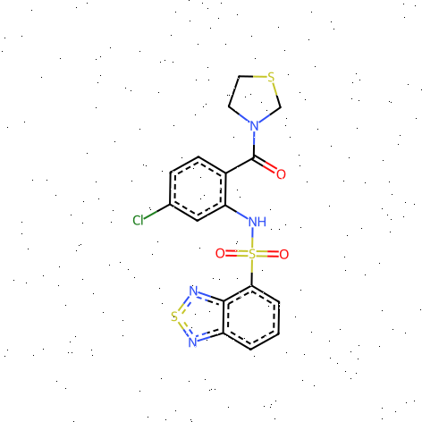 O=C(c1ccc(Cl)cc1NS(=O)(=O)c1cccc2nsnc12)N1CCSC1